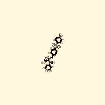 N#CN=C(NCc1ccc(S(=O)(=O)c2ccc(Cl)cc2)cc1)Nc1ccncc1